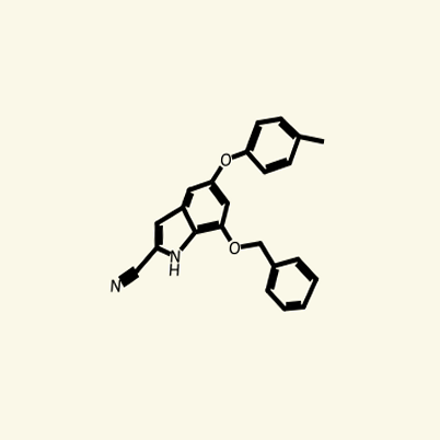 Cc1ccc(Oc2cc(OCc3ccccc3)c3[nH]c(C#N)cc3c2)cc1